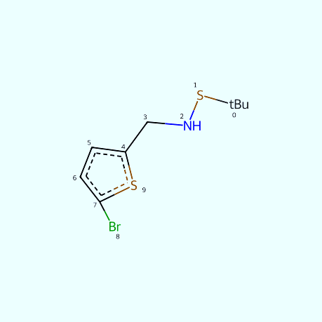 CC(C)(C)SNCc1ccc(Br)s1